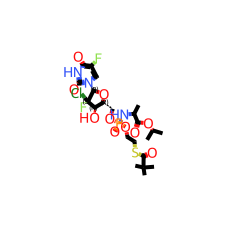 CC(C)OC(=O)C(C)NP(=O)(OCCSC(=O)C(C)(C)C)OC[C@H]1O[C@@H](n2cc(F)c(=O)[nH]c2=O)[C@@](F)(Cl)[C@@H]1O